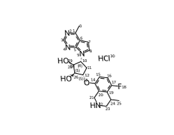 Cc1ncnc2c1ccn2[C@@H]1C[C@H](Oc2ccc(F)c3c2CNCC3C)[C@@H](O)[C@H]1O.Cl